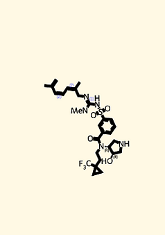 C=C(C)/C=C\C=C(\C)C/N=C(\NC)NS(=O)(=O)c1cccc(C(=O)N(CCC2(C(F)(F)F)CC2)[C@@H]2CNC[C@H]2O)c1